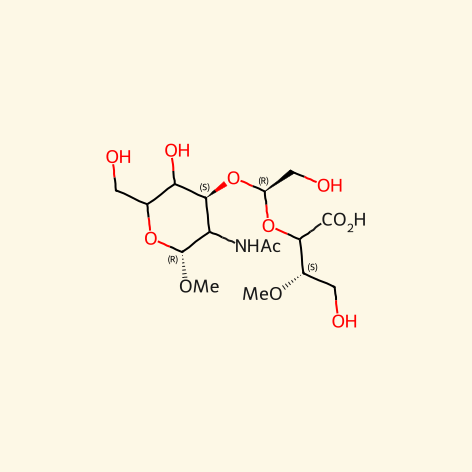 CO[C@@H]1OC(CO)C(O)[C@@H](O[C@@H](CO)OC(C(=O)O)[C@H](CO)OC)C1NC(C)=O